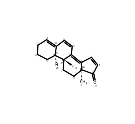 C[C@]12CC[C@H]3C(=C1C=CC2=O)C=CC1=CCCC[C@@H]13